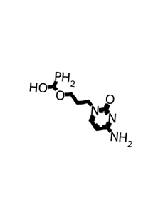 Nc1ccn(CCCOC(O)P)c(=O)n1